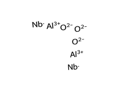 [Al+3].[Al+3].[Nb].[Nb].[O-2].[O-2].[O-2]